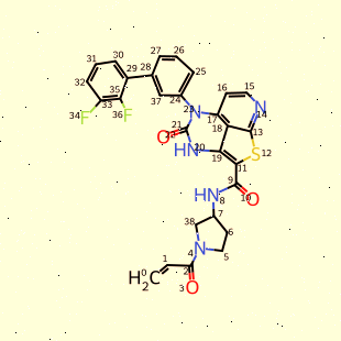 C=CC(=O)N1CCC(NC(=O)c2sc3nccc4c3c2NC(=O)N4c2cccc(-c3cccc(F)c3F)c2)C1